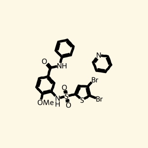 COc1ccc(C(=O)Nc2ccccc2)cc1NS(=O)(=O)c1cc(Br)c(Br)s1.c1ccncc1